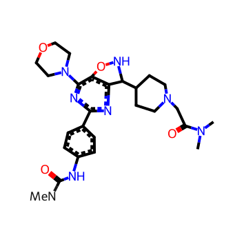 CNC(=O)Nc1ccc(-c2nc3c(c(N4CCOCC4)n2)ONC3C2CCN(CC(=O)N(C)C)CC2)cc1